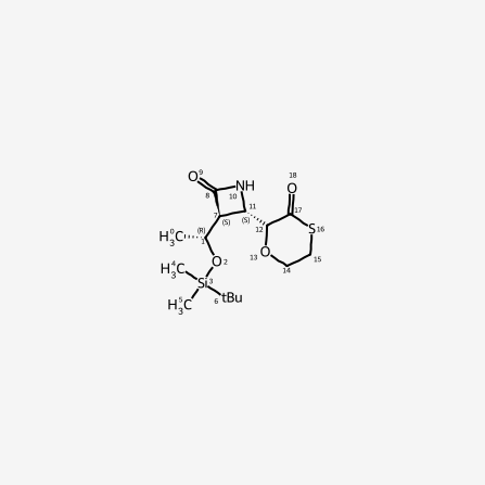 C[C@@H](O[Si](C)(C)C(C)(C)C)[C@H]1C(=O)N[C@@H]1C1OCCSC1=O